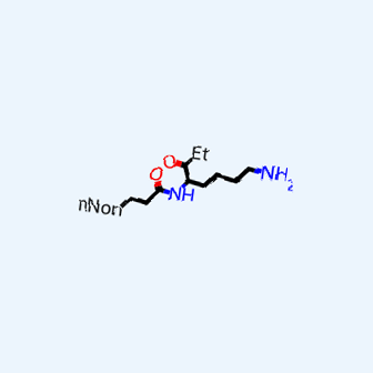 CCCCCCCCCCCC(=O)NC(CCCCN)C(=O)CC